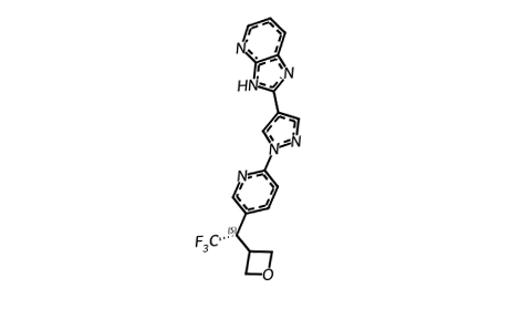 FC(F)(F)[C@H](c1ccc(-n2cc(-c3nc4cccnc4[nH]3)cn2)nc1)C1COC1